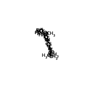 COc1cc2nn(C3CCN(C4CN(C(=O)OC(C)(C)C)C4)CC3)cc2cc1NC(=O)c1cccc(C(F)(F)F)n1